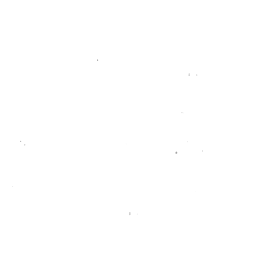 CCCCOCC1OC(c2cccc(Cc3nc4ccccc4s3)c2)[C@H](OCCCC)C(OCCCC)[C@@H]1OCCCC